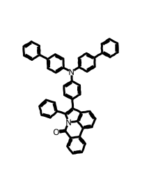 O=c1c2ccccc2c2cccc3c(-c4ccc(N(c5ccc(-c6ccccc6)cc5)c5ccc(-c6ccccc6)cc5)cc4)c(-c4ccccc4)n1c32